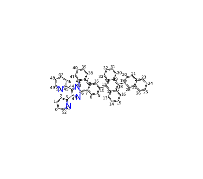 c1ccc(-c2nc3c4ccc(-c5c6ccccc6c(-c6ccc7ccccc7c6)c6ccccc56)cc4c4ccccc4n3c2-c2ccccn2)nc1